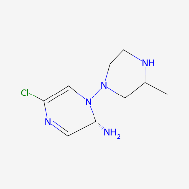 CC1CN(N2C=C(Cl)N=C[C@H]2N)CCN1